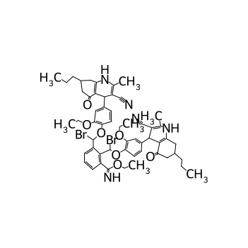 CCCC1CC(=O)C2=C(C1)NC(C)=C(C#N)C2c1ccc(OC(Br)c2cccc(C(=N)OCC)c2C(Br)Oc2ccc(C3C(C#N)=C(C)NC4=C3C(=O)CC(CCC)C4)cc2OCC)c(OCC)c1